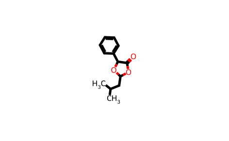 CC(C)CC1OC(=O)C(c2ccccc2)O1